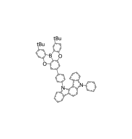 CC(C)(C)c1ccc2c(c1)B1c3cc(C(C)(C)C)ccc3Oc3cc(-c4ccc(-n5c6ccccc6c6ccc7c(c8ccccc8n7-c7ccccc7)c65)cc4)cc(c31)O2